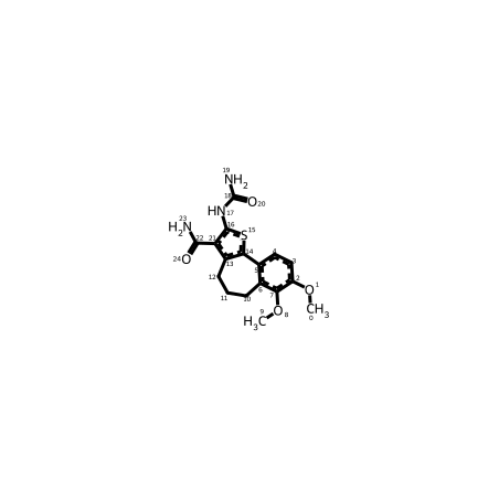 COc1ccc2c(c1OC)CCCc1c-2sc(NC(N)=O)c1C(N)=O